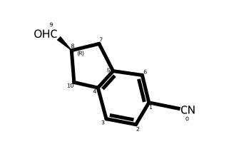 N#Cc1ccc2c(c1)C[C@H](C=O)C2